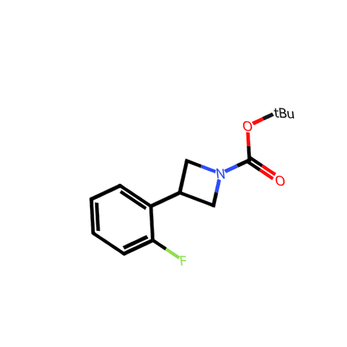 CC(C)(C)OC(=O)N1CC(c2ccccc2F)C1